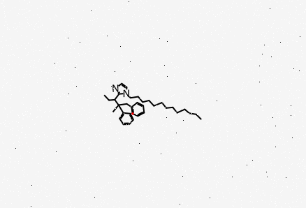 CCCCCCCCCCCCCn1ccnc1C(CC)C(C)(Cc1ccccc1)c1ccccc1